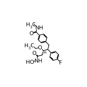 CCO[C@H](CC(=O)NO)C(Cc1ccc(C(=O)NC)cc1)c1ccc(F)cc1